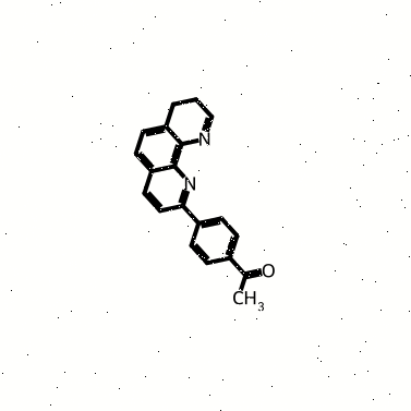 CC(=O)c1ccc(-c2ccc3ccc4c(c3n2)N=CCC4)cc1